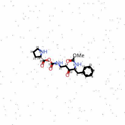 COC(=O)NC(Cc1ccccc1)C(=O)CCNC(=O)OC(=O)[C@@H]1CCCN1